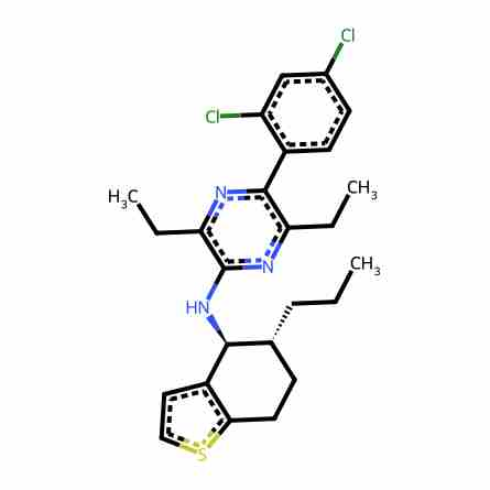 CCC[C@@H]1CCc2sccc2[C@H]1Nc1nc(CC)c(-c2ccc(Cl)cc2Cl)nc1CC